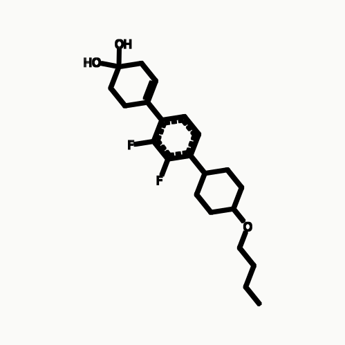 CCCCOC1CCC(c2ccc(C3=CCC(O)(O)CC3)c(F)c2F)CC1